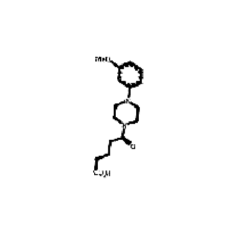 COc1cccc(N2CCN(C(=O)CCCC(=O)O)CC2)c1